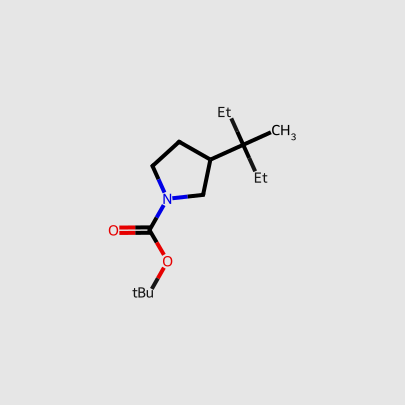 CCC(C)(CC)C1CCN(C(=O)OC(C)(C)C)C1